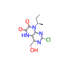 CC[C@@H](C)n1c(=O)c(=O)[nH]c2c(CO)nc(Cl)nc21